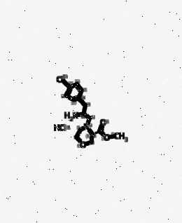 COC(=O)[C@@H]1COCCN1CC(N)Cc1ccc(Cl)cc1.Cl